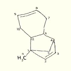 CC12C=CC(C1)C1CC=CCC12